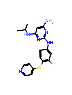 CC(C)Nc1cc(N)nc(Nc2ccc(Sc3ccncc3)c(F)c2)n1